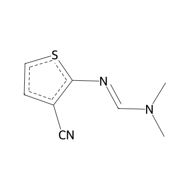 CN(C)C=Nc1sccc1C#N